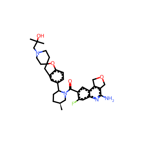 C[C@H]1CCC(c2ccc3c(c2)CC2(CCN(CC(C)(C)O)CC2)O3)N(C(=O)c2cc3c4c(c(N)nc3cc2F)COC4)C1